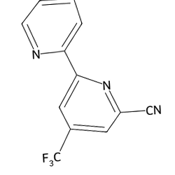 N#Cc1cc(C(F)(F)F)cc(-c2ccccn2)n1